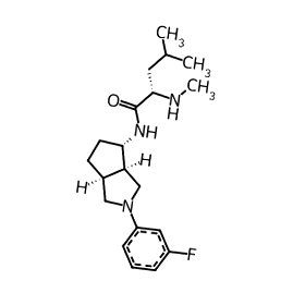 CN[C@@H](CC(C)C)C(=O)N[C@H]1CC[C@@H]2CN(c3cccc(F)c3)C[C@@H]21